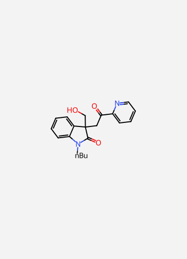 CCCCN1C(=O)C(CO)(CC(=O)c2ccccn2)c2ccccc21